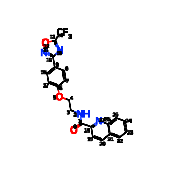 O=C(NCCOc1ccc(-c2noc(C(F)(F)F)n2)cc1)c1ccc2ccccc2n1